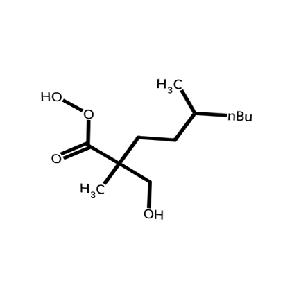 CCCCC(C)CCC(C)(CO)C(=O)OO